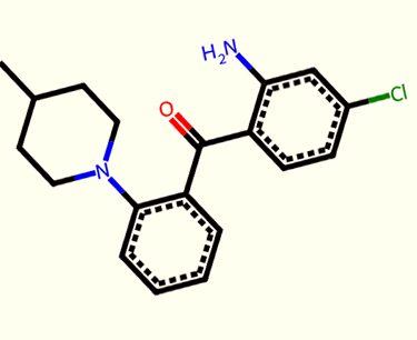 CC1CCN(c2ccccc2C(=O)c2ccc(Cl)cc2N)CC1